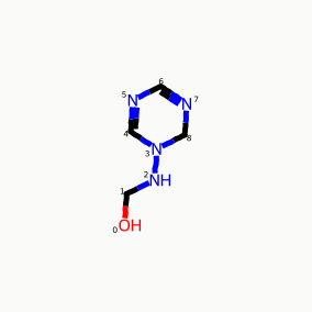 OCNN1C=NC=NC1